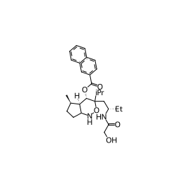 CC[C@@H](CC1(C(C)C)ONC2CC[C@@H](C)[C@H]2[C@@H]1OC(=O)c1ccc2ccccc2c1)NC(=O)CO